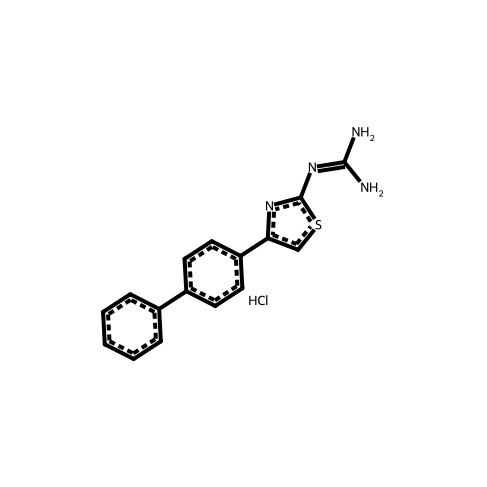 Cl.NC(N)=Nc1nc(-c2ccc(-c3ccccc3)cc2)cs1